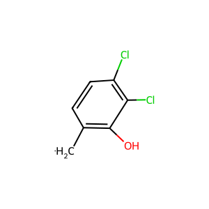 [CH2]c1ccc(Cl)c(Cl)c1O